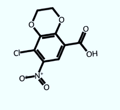 O=C(O)c1cc([N+](=O)[O-])c(Cl)c2c1OCCO2